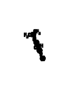 O=C(Nc1ccc(OCc2cc(C(F)(F)F)cc(C(F)(F)F)c2)cc1)N1CCN(CCc2ccccc2)CC1